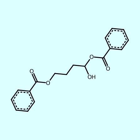 O=C(OCCCC(O)OC(=O)c1ccccc1)c1ccccc1